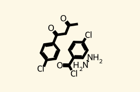 CC(=O)CC(=O)c1ccc(Cl)cc1.NN.O=C(Cl)c1ccc(Cl)cc1